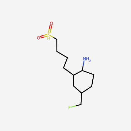 NC1CCC(CF)CC1CCCC[SH](=O)=O